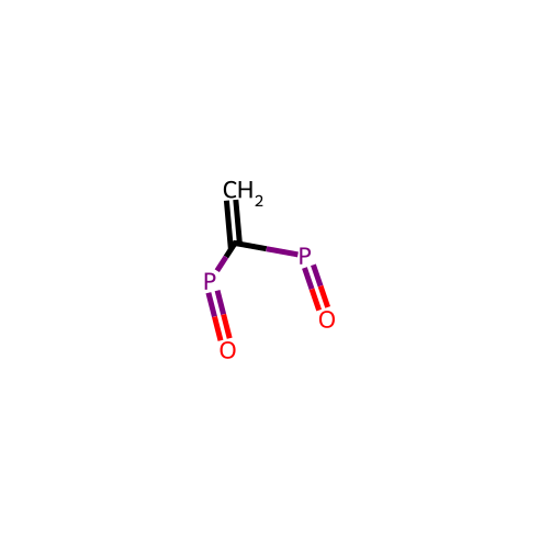 C=C(P=O)P=O